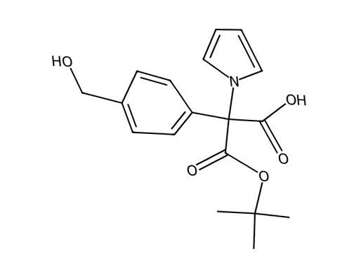 CC(C)(C)OC(=O)C(C(=O)O)(c1ccc(CO)cc1)n1cccc1